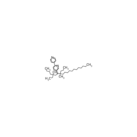 CCCCCCCCCCCCC(C)(CCC)C(CC(C)(CC)CCCC)c1ccc(-c2ccncc2)nc1